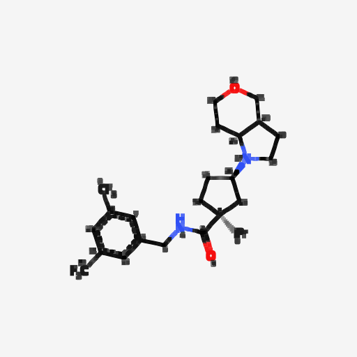 CC(C)[C@]1(C(=O)NCc2cc(C(F)(F)F)cc(C(F)(F)F)c2)CC[C@@H](N2CCC3COCCC32)C1